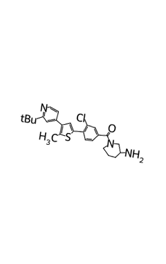 Cc1sc(-c2ccc(C(=O)N3CCCC(N)C3)cc2Cl)cc1-c1ccnc(C(C)(C)C)c1